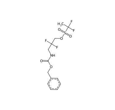 CC(F)(F)S(=O)(=O)OCC(F)(F)CNC(=O)OCc1ccccc1